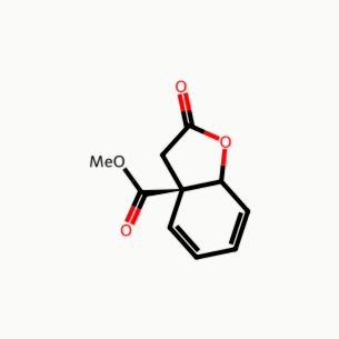 COC(=O)[C@]12C=CC=CC1OC(=O)C2